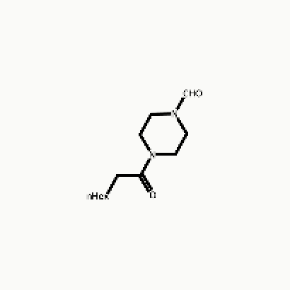 CCCCCCCC(=O)N1CCN(C=O)CC1